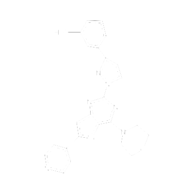 Cc1cccc(-c2ccn(-c3nc(N4CCOCC4)c4oc(-c5ccncc5)cc4n3)n2)c1